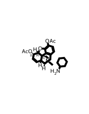 CC(=O)Oc1ccc2c3c1O[C@H]1[C@@H](OC(C)=O)C=C[C@H]4[C@@H](C2)N(C)CC[C@@]341.NC1CCCCC1